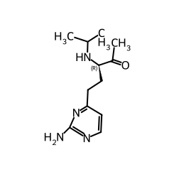 CC(=O)[C@@H](CCc1ccnc(N)n1)NC(C)C